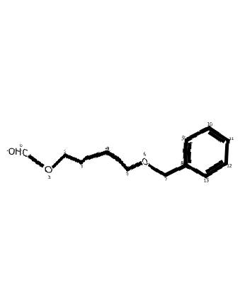 O=[C]OCCCCOCc1ccccc1